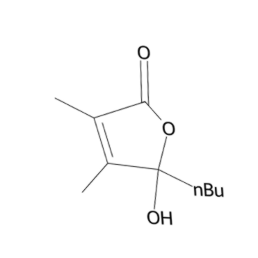 CCCCC1(O)OC(=O)C(C)=C1C